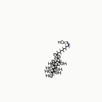 CCCCCCCC/C=C\CCCCCCCC(=O)OC(=O)CC(O)(CC(=O)OC(=O)[C@H](O)[C@@H](O)[C@H](O)[C@H](O)CO)C(=O)O